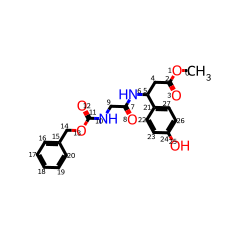 COC(=O)CC(NC(=O)CNC(=O)OCc1ccccc1)c1ccc(O)cc1